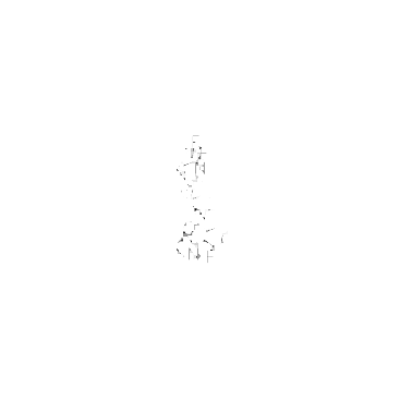 O=C(c1cccc(F)c1-c1ncccn1)N1CCCC(Oc2cnc(C(F)(F)F)cn2)C1